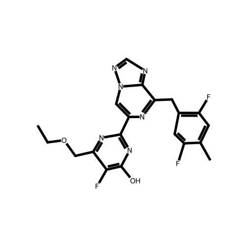 CCOCc1nc(-c2cn3ncnc3c(Cc3cc(F)c(C)cc3F)n2)nc(O)c1F